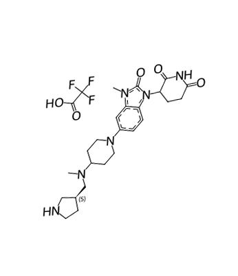 CN(C[C@H]1CCNC1)C1CCN(c2ccc3c(c2)n(C)c(=O)n3C2CCC(=O)NC2=O)CC1.O=C(O)C(F)(F)F